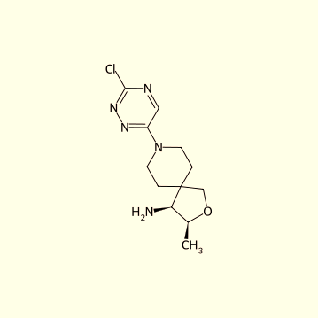 C[C@@H]1OCC2(CCN(c3cnc(Cl)nn3)CC2)[C@@H]1N